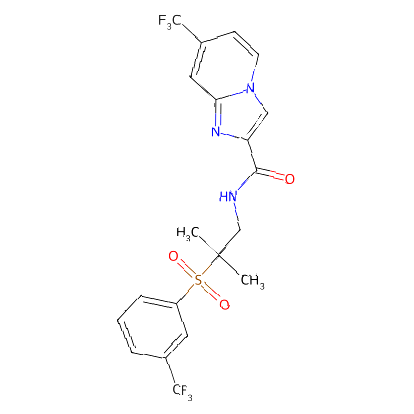 CC(C)(CNC(=O)c1cn2ccc(C(F)(F)F)cc2n1)S(=O)(=O)c1cccc(C(F)(F)F)c1